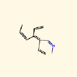 C=CC(/C=C\C)=C(C=C)\C=N/C